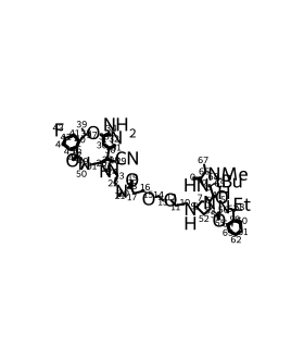 C=C(N[C@H](C(=O)N1C[C@@H](NCCOCCOCCC(=O)N(C)CCn2nc3c(c2C#N)-c2cnc(N)c(c2)O[C@H](C)c2cc(F)ccc2C(=O)N(C)C3)C[C@H]1C(=O)N[C@H](CC)c1ccccc1)C(C)(C)C)[C@H](C)NC